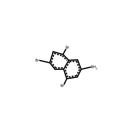 Bc1cc(Br)c2cc(Br)cc(Br)c2c1